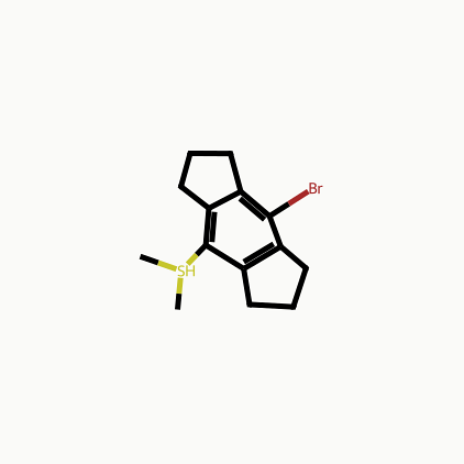 C[SH](C)c1c2c(c(Br)c3c1CCC3)CCC2